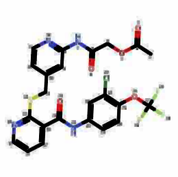 CC(=O)OCC(=O)Nc1cc(CSc2ncccc2C(=O)Nc2ccc(OC(F)(F)F)c(Cl)c2)ccn1